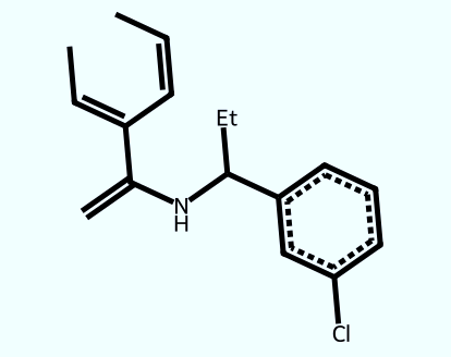 C=C(NC(CC)c1cccc(Cl)c1)C(/C=C\C)=C/C